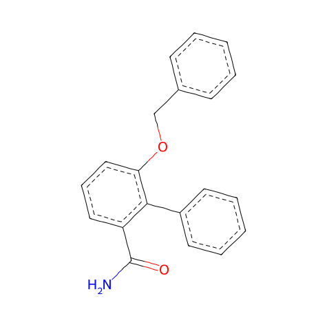 NC(=O)c1cccc(OCc2ccccc2)c1-c1ccccc1